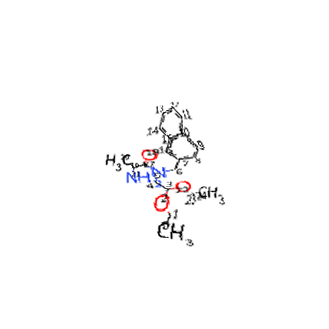 CCOC(CN(Cc1ccc2ccccc2c1)C(=O)C(C)N)OCC